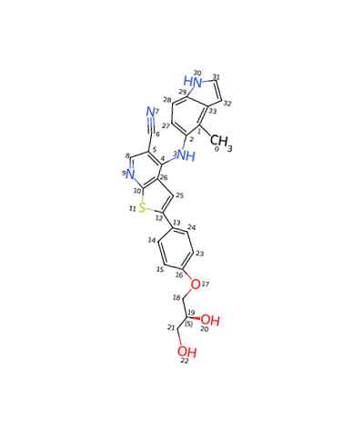 Cc1c(Nc2c(C#N)cnc3sc(-c4ccc(OC[C@@H](O)CO)cc4)cc23)ccc2[nH]ccc12